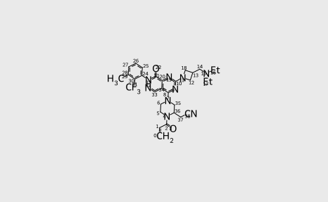 C=CC(=O)N1CCN(c2nc(N3CC(CN(CC)CC)C3)nc3c(=O)n(-c4cccc(C)c4C(F)(F)F)ncc23)CC1CC#N